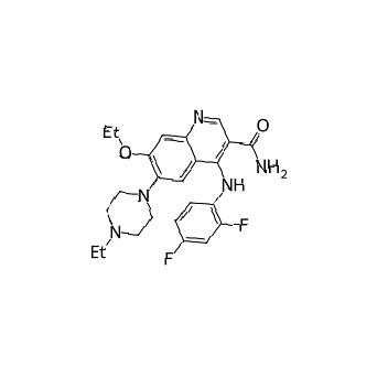 CCOc1cc2ncc(C(N)=O)c(Nc3ccc(F)cc3F)c2cc1N1CCN(CC)CC1